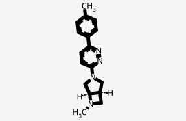 Cc1ccc(-c2ccc(N3C[C@H]4CN(C)[C@H]4C3)nn2)cc1